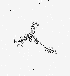 C=CC(=O)OCCCCCC(=O)OCCn1c(=O)n(CCOC(=O)C(=O)C=C)c(=O)n(CCOC(=O)C(=O)C=C)c1=O